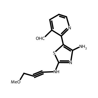 COCC#CNc1nc(N)c(-c2ncccc2C=O)s1